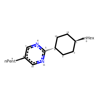 CCCCCC[C@H]1CC[C@H](c2ncc(CCCCC)cn2)CC1